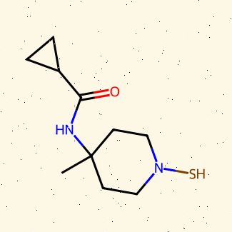 CC1(NC(=O)C2CC2)CCN(S)CC1